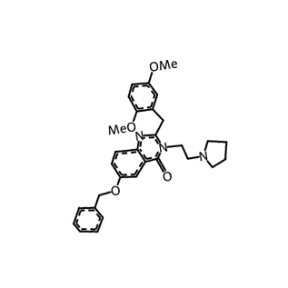 COc1ccc(OC)c(Cc2nc3ccc(OCc4ccccc4)cc3c(=O)n2CCN2CCCC2)c1